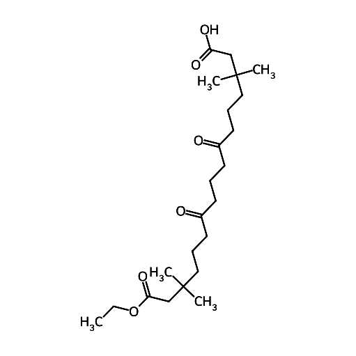 CCOC(=O)CC(C)(C)CCCC(=O)CCCC(=O)CCCC(C)(C)CC(=O)O